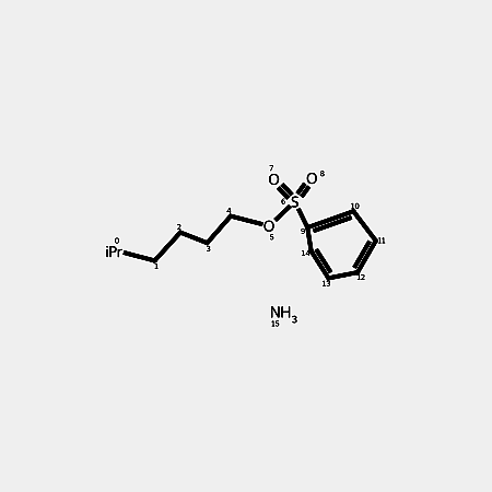 CC(C)CCCCOS(=O)(=O)c1ccccc1.N